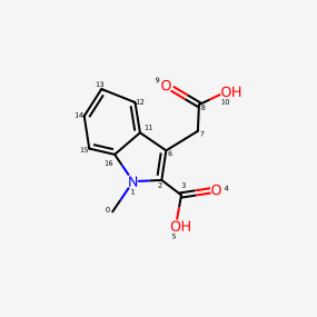 Cn1c(C(=O)O)c(CC(=O)O)c2ccccc21